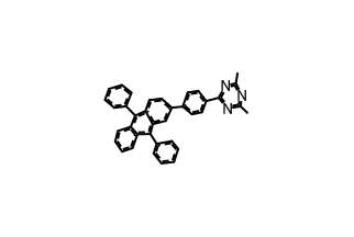 Cc1nc(C)nc(-c2ccc(-c3ccc4c(-c5ccccc5)c5ccccc5c(-c5ccccc5)c4c3)cc2)n1